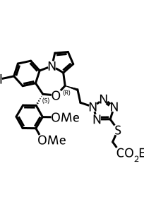 CCOC(=O)CSc1nnn(CC[C@H]2O[C@H](c3cccc(OC)c3OC)c3cc(Cl)ccc3-n3cccc32)n1